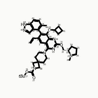 C=Cc1cc2c(N3CCC4(CC3)CN(C(=O)OC(C)(C)C)C4)nc(OC[C@@H]3CCCN3C)nc2c(OC2CCC2)c1-c1c(C)ccc2[nH]ncc12